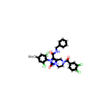 COc1cc(Cl)c(-n2c(C(=O)NCc3ccccc3)c3n(c2=O)CCN(C(=O)c2ccc(Cl)c(Cl)c2)C3)c(Cl)c1